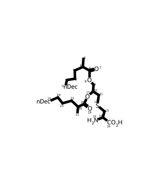 CCCCCCCCCCCCCC(C)C(=O)OCC(CSCC(N)C(=O)O)OC(=O)C(C)CCCCCCCCCCCCC